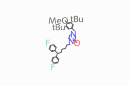 COc1c(C(C)(C)C)cc(CN2CCN(CCCCCC(c3ccc(F)cc3)c3ccc(F)cc3)C(=O)C2)cc1C(C)(C)C